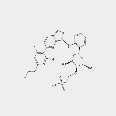 C[C@H]1C[C@@H](c2ccncc2Nc2ncc3ccc(-c4c(F)cc(CCO)cc4F)nn23)C[C@@H](N)[C@H]1OCCS(C)(=O)=O